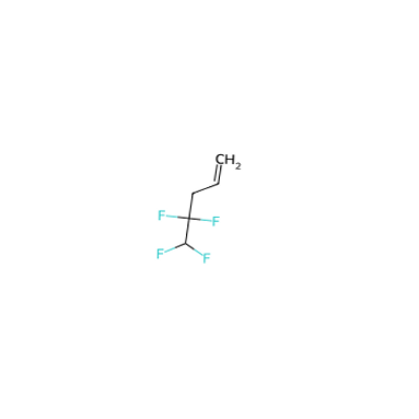 C=CCC(F)(F)C(F)F